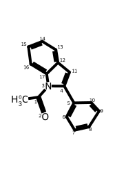 CC(=O)n1c(-c2ccccc2)cc2ccccc21